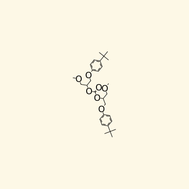 COCC(COc1ccc(C(C)(C)C)cc1)OC(=O)OC(COC)COc1ccc(C(C)(C)C)cc1